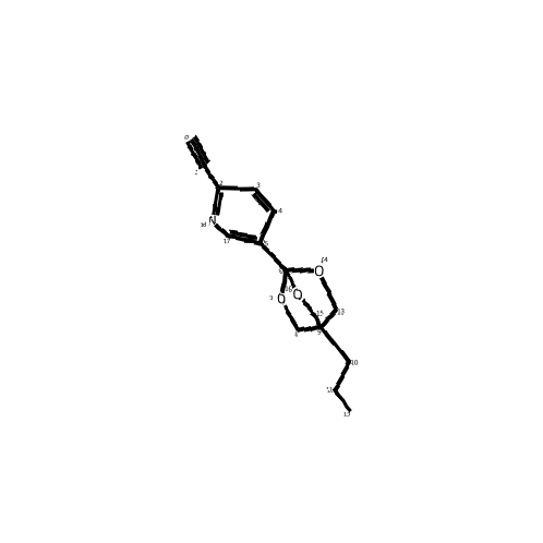 C#Cc1ccc(C23OCC(CCC)(CO2)CO3)cn1